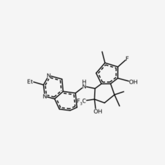 CCc1ncc2c(NC3c4cc(C)c(F)c(O)c4C(C)(C)CC3(O)C(F)(F)F)cccc2n1